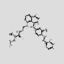 O=C(NCCOc1cccc2ncnc(Nc3ccc(OCc4ccccn4)c(Cl)c3)c12)[C@H](O)CCO